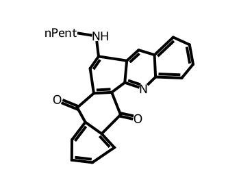 CCCCCNc1cc2c(c3nc4ccccc4cc13)C(=O)c1ccccc1C2=O